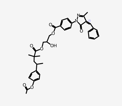 CC(=O)Oc1ccc(C(C)CC(C)(C)C(=O)OCC(O)COC(=O)c2ccc(N3N=C(C)/C(=C/c4ccccc4)C3=O)cc2)cc1